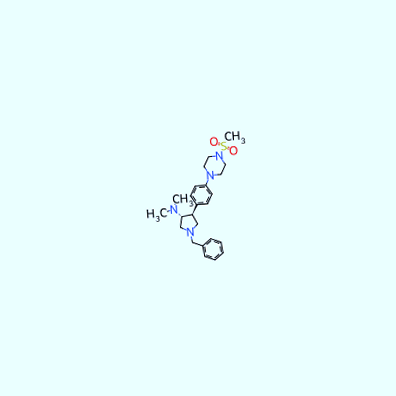 CN(C)[C@H]1CN(Cc2ccccc2)C[C@@H]1c1ccc(N2CCN(S(C)(=O)=O)CC2)cc1